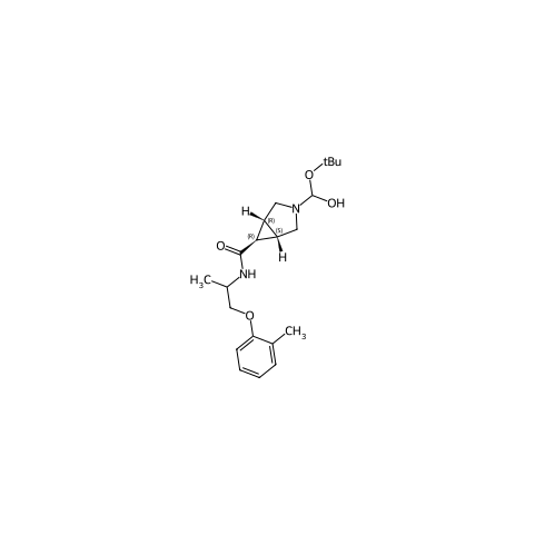 Cc1ccccc1OCC(C)NC(=O)[C@H]1[C@@H]2CN(C(O)OC(C)(C)C)C[C@@H]21